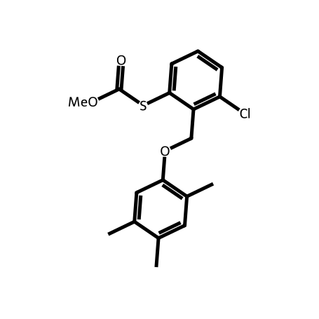 COC(=O)Sc1cccc(Cl)c1COc1cc(C)c(C)cc1C